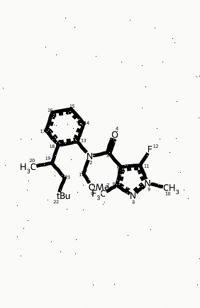 COCN(C(=O)c1c(C(F)(F)F)nn(C)c1F)c1ccccc1C(C)CC(C)(C)C